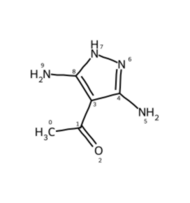 CC(=O)c1c(N)n[nH]c1N